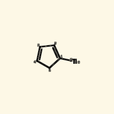 [2Ti][C]1=CC=CC1